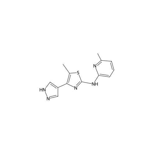 Cc1cccc(Nc2nc(-c3cn[nH]c3)c(C)s2)n1